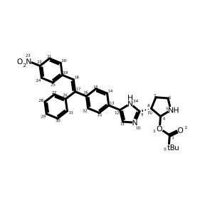 CC(C)(C)C(=O)OC1NCC[C@H]1c1ncc(-c2ccc(C(=Cc3ccc([N+](=O)[O-])cc3)c3ccccc3)cc2)[nH]1